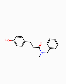 CN(Cc1ccccc1)C(=O)CCc1ccc(O)cc1